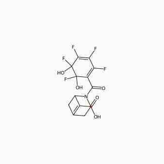 O=C(O)C1=C2CCN(C(=O)C3=C(F)C(F)=C(F)C(O)(F)C3(O)F)C1C2